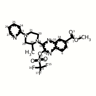 COC(=O)c1ccc2nc(OS(=O)(=O)C(F)(F)F)c(N3CCN(c4ccccn4)CC3C)nc2c1